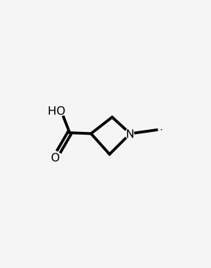 [CH2]N1CC(C(=O)O)C1